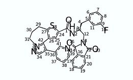 O=C(N[C@@H](Cc1cccc(F)c1)CN1C(=O)c2ccccc2C1=O)c1cc2c(s1)CCCn1ncc(-c3cccnc3)c1-2